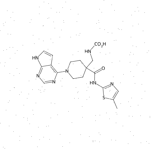 Cc1cnc(NC(=O)C2(CNC(=O)O)CCN(c3ncnc4[nH]ccc34)CC2)s1